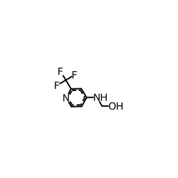 OCNc1ccnc(C(F)(F)F)c1